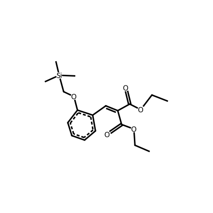 CCOC(=O)C(=Cc1ccccc1OC[Si](C)(C)C)C(=O)OCC